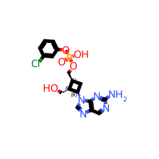 Nc1ncc2ncn([C@@H]3C[C@H](COP(=O)(O)Oc4cccc(Cl)c4)[C@H]3CO)c2n1